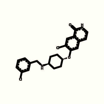 O=c1[nH]ccc2cc(O[C@H]3CC[C@H](NCc4cccc(Cl)c4)CC3)c(Cl)cc12